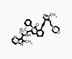 Cc1nn2cccnc2c1C(=O)N[C@H](C)c1cc2cccc(C#Cc3cnn(C)c3CCN3CCOCC3)c2c(=O)n1-c1ccccc1